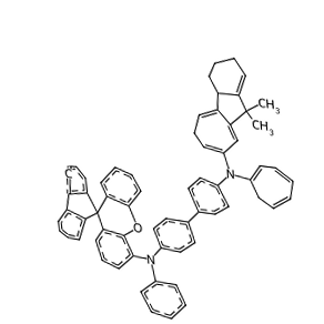 CC1(C)C2=CC(N(C3=CC=CC=CC3)c3ccc(-c4ccc(N(c5ccccc5)c5cccc6c5Oc5ccccc5C65c6ccccc6-c6ccccc65)cc4)cc3)=CCC=C2C2CCCC=C21